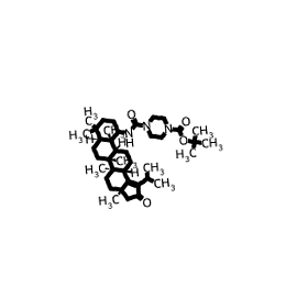 CC(C)C1=C2[C@H]3CC[C@@H]4[C@@]5(C)C(NC(=O)N6CCN(C(=O)OC(C)(C)C)CC6)CCC(C)(C)[C@@H]5CC[C@@]4(C)[C@]3(C)CC[C@@]2(C)CC1=O